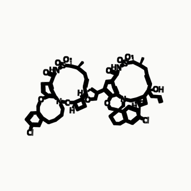 C=CC[C@@]1(O)/C=C/C[C@H](C)[C@@H](C)S(=O)(=O)NC(=O)c2cc(C3CO[C@@]4(/C=C/C[C@H](C)[C@@H](C)S(=O)(=O)NC(=O)c5ccc6c(c5)N(CCCCc5cc(Cl)ccc5CO6)C[C@@H]5CC[C@H]54)C3)c3c(c2)N(C[C@@H]2[C@H](C)C[C@H]21)C[C@@]1(CCCc2cc(Cl)ccc21)CO3